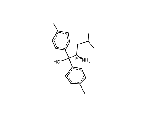 Cc1ccc(C(O)(c2ccc(C)cc2)[C@H](N)CC(C)C)cc1